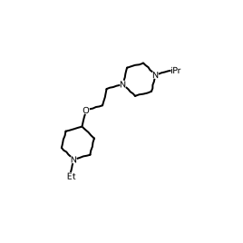 CCN1CCC(OCCN2CCN(C(C)C)CC2)CC1